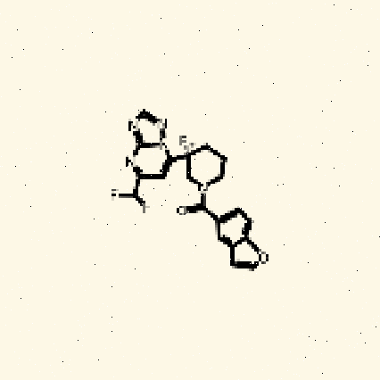 O=C(c1ccc2occc2c1)N1CCC[C@](F)(c2cc(C(F)F)nc3ncnn23)C1